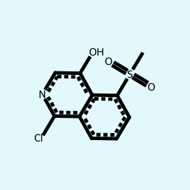 CS(=O)(=O)c1cccc2c(Cl)ncc(O)c12